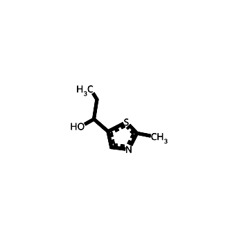 CCC(O)c1cnc(C)s1